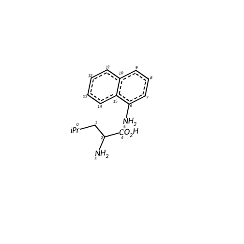 CC(C)CC(N)C(=O)O.Nc1cccc2ccccc12